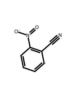 N#Cc1[c]cccc1[N+](=O)[O-]